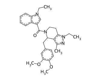 CCn1nc(C)c2c1CCN(C(=O)c1cn(CC)c3ccccc13)C2Cc1ccc(OC)c(OC)c1